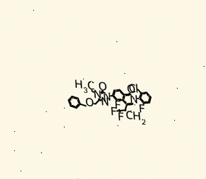 C=C(c1cn(-c2c(F)cccc2Cl)c(=O)c2ccc(-n3nc(COCc4ccccc4)n(CC)c3=O)cc12)C(F)(F)F